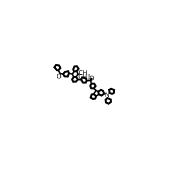 CC1(C)c2ccccc2C(c2ccc(C(=O)c3ccccc3)cc2)c2cccc(-c3ccc(C(=O)c4ccc(C5c6ccccc6-c6cc(N(c7ccccc7)c7ccccc7)ccc65)cc4)cc3)c21